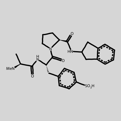 CN[C@@H](C)C(=O)N[C@@H](Cc1ccc(S(=O)(=O)O)cc1)C(=O)N1CCC[C@H]1C(=O)NC1Cc2ccccc2C1